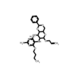 C=CCOC1OC2COC(c3ccccc3)OC2C(O)C1Nc1c(N)nc(N)nc1OCCCC